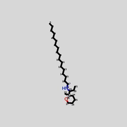 CCCCCCCCCCCCCCCCCCNC(CC)[Si]1(C)CCCCO1